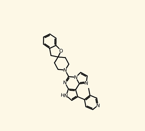 Cc1cnccc1-c1c[nH]c2nc(N3CCC4(CC3)Cc3ccccc3O4)n3ccnc3c12